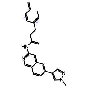 C=C/C=C\C(=C/C)CCC(=C)Nc1cc2cc(-c3cnn(C)c3)ccc2cn1